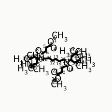 CCOC(=O)CCC(=O)N(CCCCCCN(C(=O)CCC(=O)OCC)C1CC(C)(C)NC(C)(C)C1)C1CC(C)(C)NC(C)(C)C1